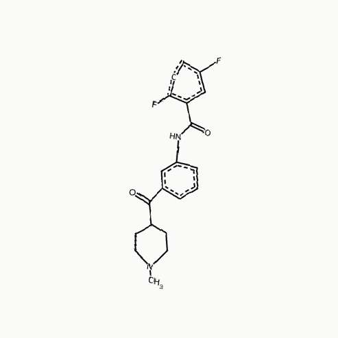 CN1CCC(C(=O)c2cccc(NC(=O)c3cc(F)ccc3F)c2)CC1